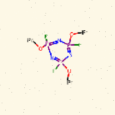 CC(C)OP1(F)=NP(F)(OC(C)C)=NP(F)(OC(C)C)=N1